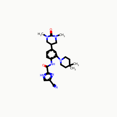 CN1CC(c2ccc(NC(=O)c3nc(C#N)c[nH]3)c(N3CCC(C)(C)CC3)c2)CN(C)C1=O